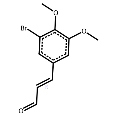 COc1cc(/C=C/C=O)cc(Br)c1OC